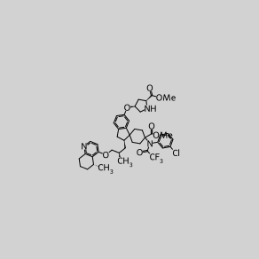 COC(=O)[C@@H]1C[C@H](Oc2ccc3c(c2)C2(CCC(C(=O)OC)(N(C(=O)C(F)(F)F)c4cccc(Cl)c4)CC2)[C@@H](C[C@@H](C)COc2ccnc4c2[C@H](C)CCC4)C3)CN1